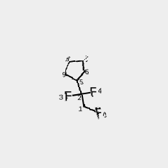 FCC(F)(F)C1C[CH]CC1